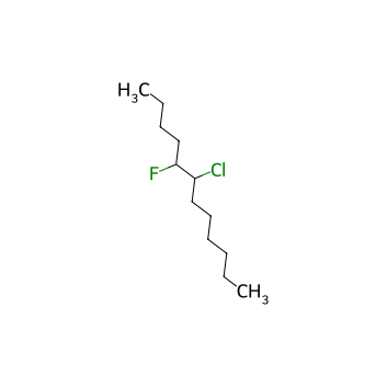 CCCCCCC(Cl)C(F)CCCC